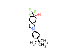 CC(C)(C)c1ccc(N2CC[C@]3(CC[C@@](O)(C(F)(F)F)CC3)C2)cc1